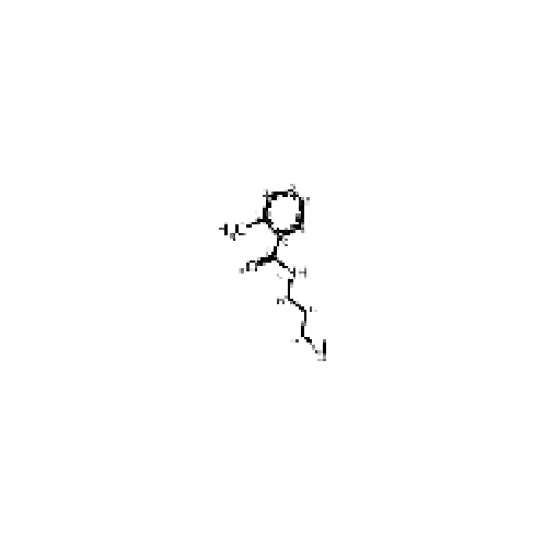 Cc1ccccc1C(=O)NCCCCl